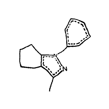 Cc1nn(-c2ccccc2)c2c1CCC2